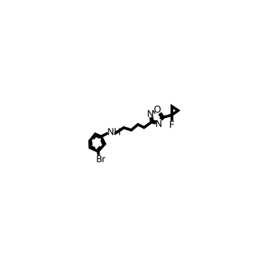 FC1(c2nc(CCCCCNc3cccc(Br)c3)no2)CC1